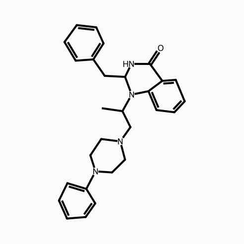 CC(CN1CCN(c2ccccc2)CC1)N1c2ccccc2C(=O)NC1Cc1ccccc1